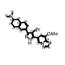 COc1cc(-c2[nH]nc(-c3ccc4c(c3)CCC(N(C)C)C4)c2C(C)C)cn2ncnc12